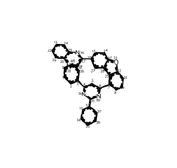 c1ccc(-c2cc(-c3cccc4oc5ccc(-c6cnc7ccccc7n6)cc5c34)nc(-c3ccccc3)n2)cc1